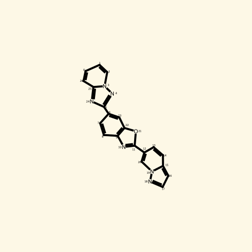 c1ccn2nc(-c3ccc4nc(-c5ccc6ccnn6c5)oc4c3)nc2c1